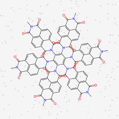 CN1C(=O)c2ccc3c4c(ccc(c24)C1=O)C(=O)N(c1c(N2C(=O)c4ccc5c6c(ccc(c46)C2=O)C(=O)N(C)C5=O)c(N2C(=O)c4ccc5c6c(ccc(c46)C2=O)C(=O)N(C)C5=O)c(N2C(=O)c4ccc5c6c(ccc(c46)C2=O)C(=O)N(C)C5=O)c(N2C(=O)c4ccc5c6c(ccc(c46)C2=O)C(=O)N(C)C5=O)c1N1C(=O)c2ccc4c5c(ccc(c25)C1=O)C(=O)N(C)C4=O)C3=O